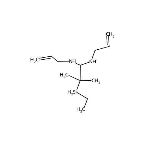 C=CCNC(NCC=C)C(C)(C)[SiH2]CC